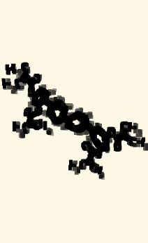 C=C(C)C(=O)Oc1cc(OC(=O)C(=C)C)cc(-c2ccc(-c3ccc(-c4ccc(OC(=O)C(=C)C)cc4OC(=O)C(=C)C)cc3)cc2)c1